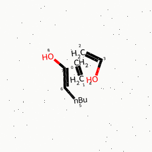 C=C.C=CO.CCCCC=CO